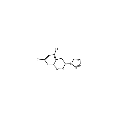 Clc1cc(Cl)c2c(c1)N=NN(n1ccnn1)C2